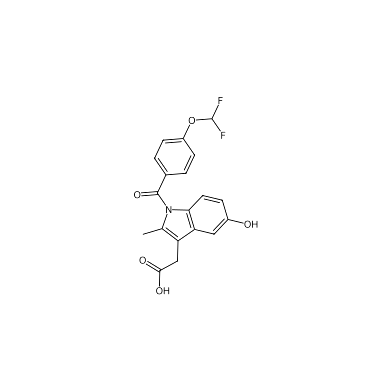 Cc1c(CC(=O)O)c2cc(O)ccc2n1C(=O)c1ccc(OC(F)F)cc1